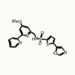 COc1cc(CNS(=O)(=O)c2ccc(-c3cnco3)s2)nc(-c2ccccn2)c1